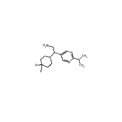 CN(C)c1ncc(C(CN)N2CCC(F)(F)CC2)cn1